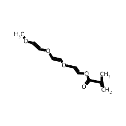 C=C(C)C(=O)OC=COC=COC=COC